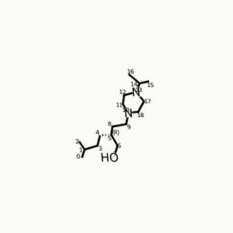 CC(C)CC[C@@H](CO)CCN1CCN(C(C)C)CC1